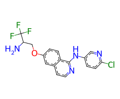 NC(COc1ccc2c(Nc3ccc(Cl)nc3)nccc2c1)C(F)(F)F